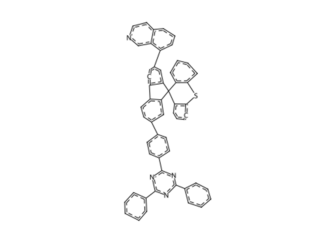 c1ccc(-c2nc(-c3ccccc3)nc(-c3ccc(-c4ccc5c(c4)C4(c6ccccc6Sc6ccccc64)c4cc(-c6cccc7ccncc67)ccc4-5)cc3)n2)cc1